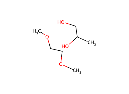 CC(O)CO.COCCOC